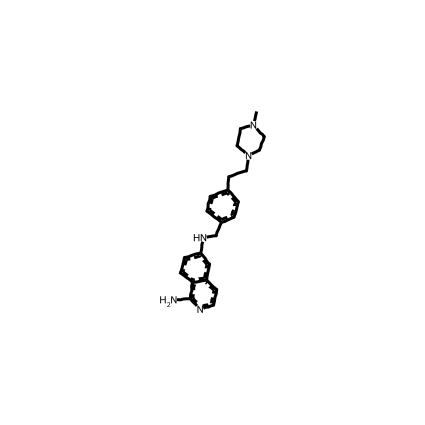 CN1CCN(CCc2ccc(CNc3ccc4c(N)nccc4c3)cc2)CC1